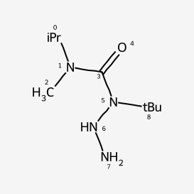 CC(C)N(C)C(=O)N(NN)C(C)(C)C